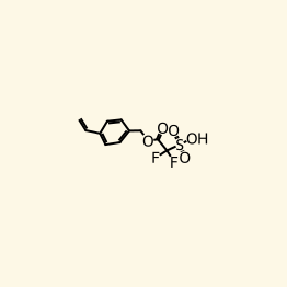 C=Cc1ccc(COC(=O)C(F)(F)S(=O)(=O)O)cc1